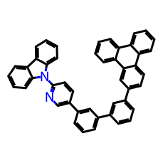 c1cc(-c2ccc(-n3c4ccccc4c4ccccc43)nc2)cc(-c2cccc(-c3ccc4c5ccccc5c5ccccc5c4c3)c2)c1